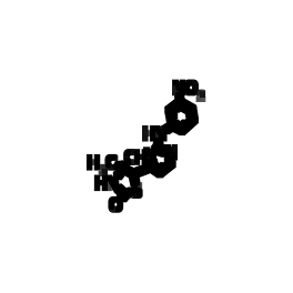 CC1(C)NC(=O)SC1c1ccnc(Nc2cccc([N+](=O)[O-])c2)n1